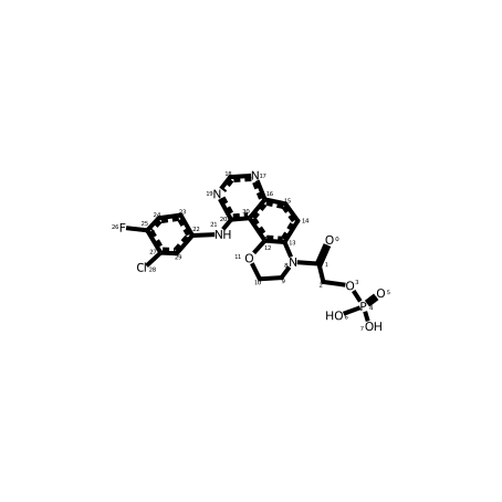 O=C(COP(=O)(O)O)N1CCOc2c1ccc1ncnc(Nc3ccc(F)c(Cl)c3)c21